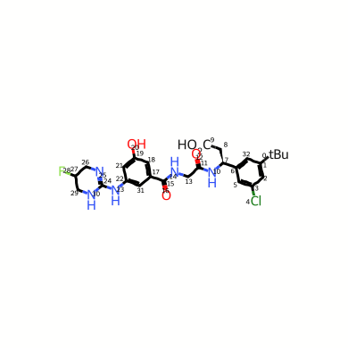 CC(C)(C)c1cc(Cl)cc([C@H](CC(=O)O)NC(=O)CNC(=O)c2cc(O)cc(NC3=NCC(F)CN3)c2)c1